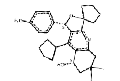 CC1(C)Cc2nc3c(c(C4CCCC4)c2[C@@H](O)C1)[C@H](c1ccc(C(F)(F)F)cc1)OC31CCCC1